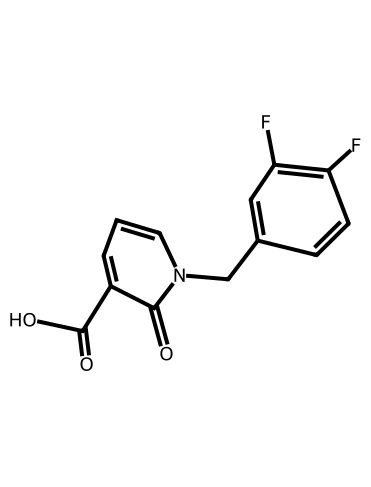 O=C(O)c1cccn(Cc2ccc(F)c(F)c2)c1=O